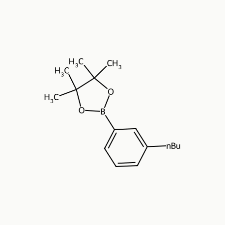 CCCCc1cccc(B2OC(C)(C)C(C)(C)O2)c1